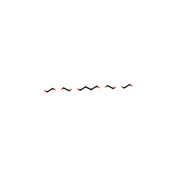 OCCOCCOCCCCOCCOCCO